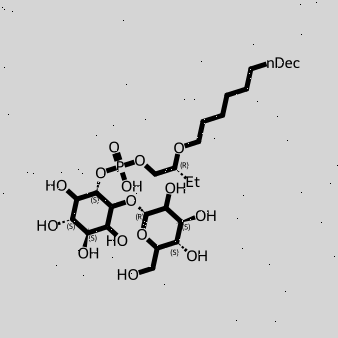 CCCCCCCCCCCCCCCCO[C@H](CC)COP(=O)(O)O[C@@H]1C(O[C@H]2OC(CO)[C@@H](O)[C@H](O)C2O)C(O)[C@@H](O)[C@H](O)C1O